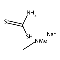 C[N-]C.NC(=S)S.[Na+]